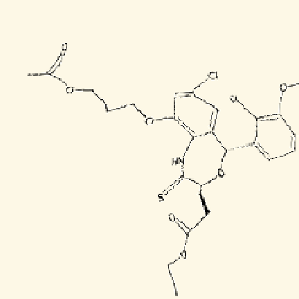 CCOC(=O)C[C@@H]1O[C@@H](c2cccc(OC)c2Cl)c2cc(Cl)cc(OCCCOC(C)=O)c2NC1=S